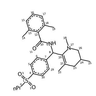 CCCS(=O)(=O)c1ccc(C(NC(=O)c2c(C)cccc2C)C2=C(C)CC(C)CN2C)cc1